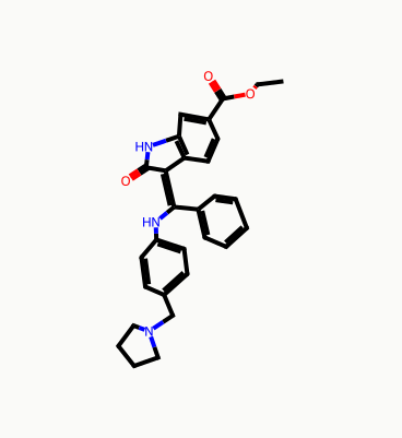 CCOC(=O)c1ccc2c(c1)NC(=O)/C2=C(\Nc1ccc(CN2CCCC2)cc1)c1ccccc1